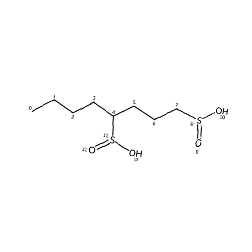 CCCCC(CCCS(=O)O)S(=O)O